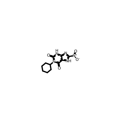 O=c1[nH]c2nc([N+](=O)[O-])[nH]c2c(=O)n1C1CCCCC1